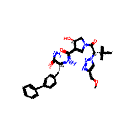 COCc1cn([C@H](C(=O)N2CC(C(=O)N[C@H](Cc3ccc(-c4ccccc4)cc3)C(N)=O)[C@@H](O)C2)C(C)(C)C)nn1